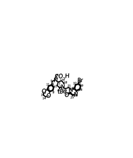 CC(C)(C)C1CC(N(Cc2ccc3c(c2)OCCO3)C(=O)O)CCN1CCn1c(=O)cnc2ccc(Br)cc21